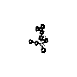 c1ccc(-c2ccc(-c3nc(-c4ccccc4)nc(-c4cccc5oc6c(-c7ccc8c9ccccc9c9ccccc9c8c7)cccc6c45)n3)cc2)cc1